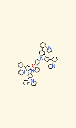 c1ccc(-c2ccccc2-c2ccc3c(c2)c2cc(-c4ccccc4-c4ccccn4)ccc2n3-c2ccc3oc4c(-n5c6ccc(-c7ccccc7-c7ccccn7)cc6c6cc(-c7ccccc7-c7ccccn7)ccc65)cccc4c3c2)nc1